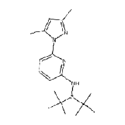 Cc1cc(C)n(-c2cccc(NP(C(C)(C)C)C(C)(C)C)n2)n1